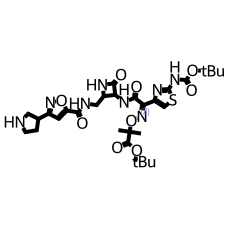 CC(C)(C)OC(=O)Nc1nc(/C(=N/OC(C)(C)C(=O)OC(C)(C)C)C(=O)NC2C(=O)NC2CNC(=O)c2cc(C3CCNC3)no2)cs1